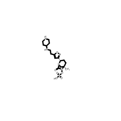 C[C@@]12CC[C@@H](c3cc(CCNC4CCNCC4)on3)N(C1)C(=O)N2OS(=O)(=O)O